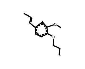 [CH2]CCOc1ccc(C=CC)cc1OC